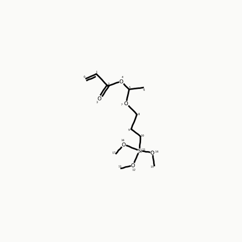 C=CC(=O)OC(C)OCCC[Si](OC)(OC)OC